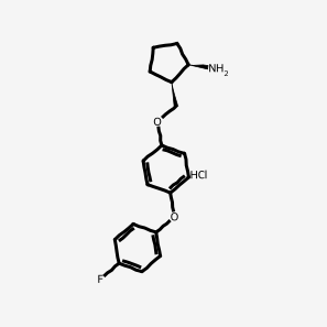 Cl.N[C@@H]1CCC[C@@H]1COc1ccc(Oc2ccc(F)cc2)cc1